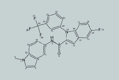 Cn1ccc2cc(NC(=O)c3cc4cc(F)ccc4n3-c3cccc(C(F)(F)F)c3)ccc21